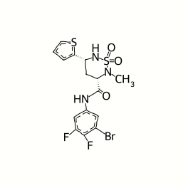 CN1[C@H](C(=O)Nc2cc(F)c(F)c(Br)c2)C[C@H](c2cccs2)NS1(=O)=O